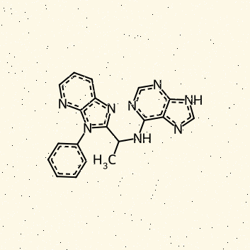 CC(Nc1ncnc2[nH]cnc12)c1nc2cccnc2n1-c1ccccc1